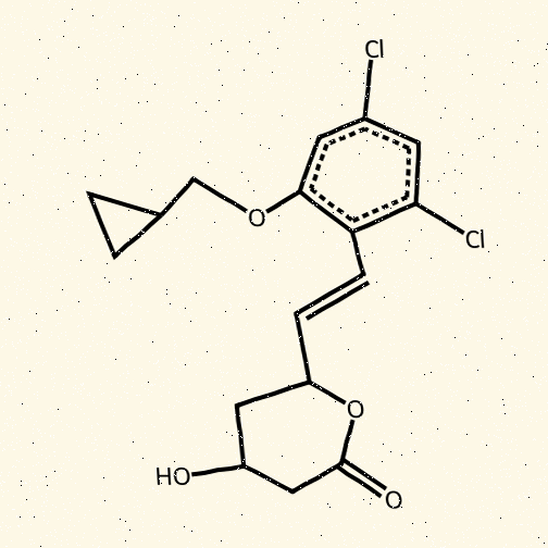 O=C1CC(O)CC(/C=C/c2c(Cl)cc(Cl)cc2OCC2CC2)O1